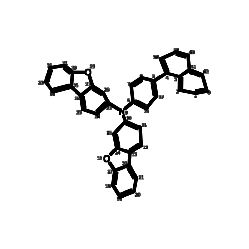 c1ccc2c(-c3ccc(N(c4ccc5c(c4)oc4ccccc45)c4ccc5c(c4)oc4ccccc45)cc3)cccc2c1